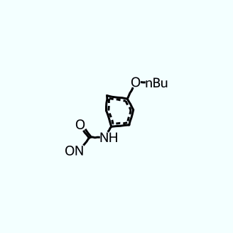 CCCCOc1ccc(NC(=O)N=O)cc1